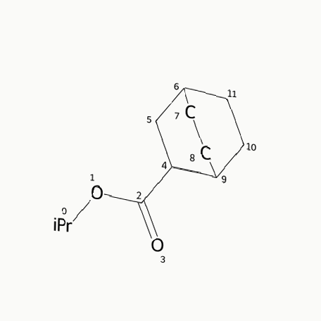 CC(C)OC(=O)C1CC2CCC1CC2